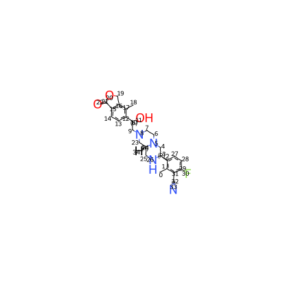 Cc1c([C@@H]2CN3CCN(C[C@@H](O)c4ccc5c(c4C)COC5=O)C[C@H]3CN2)ccc(F)c1C#N